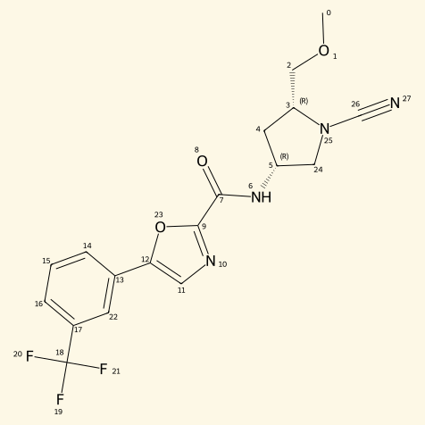 COC[C@H]1C[C@@H](NC(=O)c2ncc(-c3cccc(C(F)(F)F)c3)o2)CN1C#N